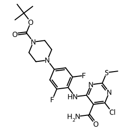 CSc1nc(Cl)c(C(N)=O)c(Nc2c(F)cc(N3CCN(C(=O)OC(C)(C)C)CC3)cc2F)n1